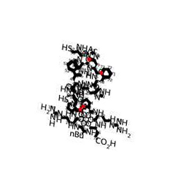 CCCC[C@H](NC(=O)[C@H](CCC(=O)O)NC(=O)[C@@H](CCCNC(=N)N)NC(=O)[C@@H]1CCCN1C(=O)[C@@H]1CCCN1C(=O)[C@H](CS)NC(=O)[C@H](Cc1c[nH]c2ccccc12)NC(=O)[C@H](Cc1c[nH]cn1)NC(=O)[C@@H](Cc1ccccc1)NC(=O)[C@H](Cc1c[nH]cn1)NC(=O)[C@@H]1CCCN1C(=O)[C@H](CS)NC(C)=O)C(=O)N[C@@H](CCCNC(=N)N)C(=O)N[C@@H](CCCNC(=N)N)C(N)=O